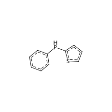 c1ccc(Pc2cccs2)cc1